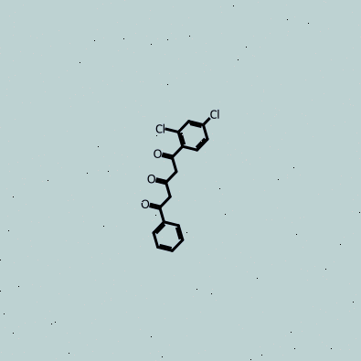 O=C(CC(=O)c1ccccc1)CC(=O)c1ccc(Cl)cc1Cl